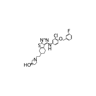 O[C@@H]1CCN(CCC2CCc3c(sc4ncnc(Nc5ccc(OCc6cccc(F)c6)c(Cl)c5)c34)C2)C1